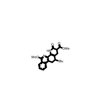 COC(=O)C1CC2=C(NC1=O)c1nc(OC)c3ccccc3c1CC2C(C)(C)C